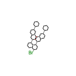 Brc1ccc(-c2ccc3cc(-c4ccccc4)ccc3c2)c2c(-c3ccc4cc(-c5ccccc5)ccc4c3)cccc12